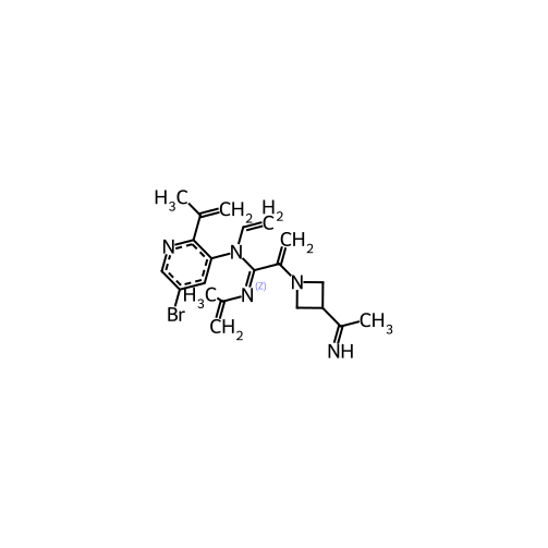 C=CN(/C(=N\C(=C)C)C(=C)N1CC(C(C)=N)C1)c1cc(Br)cnc1C(=C)C